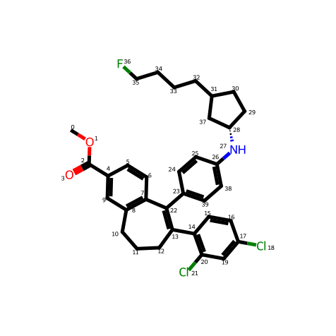 COC(=O)c1ccc2c(c1)CCCC(c1ccc(Cl)cc1Cl)=C2c1ccc(N[C@H]2CCC(CCCCF)C2)cc1